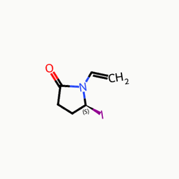 C=CN1C(=O)CC[C@@H]1I